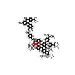 CCN1c2cc3c(cc2C(C)=CC1(C)C)C(c1c(C(=O)O)c(-[n+]2ccc(N(C)C)cc2)c(-[n+]2ccc(N(C)C)cc2)c(Sc2ccc(C(=O)NCc4ccc(C(=O)NCc5c6oc7cc(O)ccc7c(-c7cc(C(=O)O)ccc7C(=O)O)c-6ccc5=O)cc4)cc2)c1-[n+]1ccc(N(C)C)cc1)=c1cc2c(cc1O3)=[N+](CC)C(C)(C)C=C2C